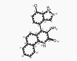 Nc1c(-c2ccc(Cl)c3[nH]ncc23)c2ccc3ccccc3c2[nH]c1=O